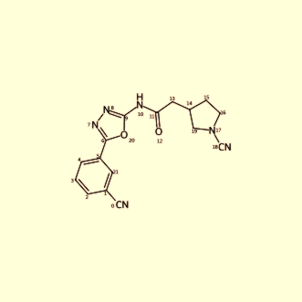 N#Cc1cccc(-c2nnc(NC(=O)CC3CCN(C#N)C3)o2)c1